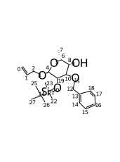 C=CCO[C@H]1O[C@H](C)[C@H](O)C(OCc2ccccc2)C1O[Si](C)(C)C(C)(C)C